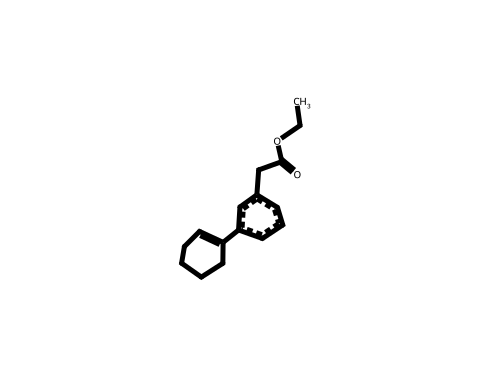 CCOC(=O)Cc1cccc(C2=CCCCC2)c1